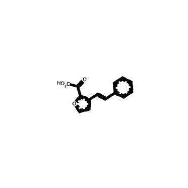 O=C(O)C(=O)c1occc1/C=C/c1ccccc1